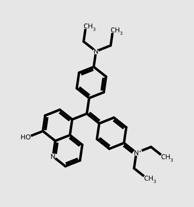 CCN(CC)c1ccc(C(=C2C=CC(=[N+](CC)CC)C=C2)c2ccc(O)c3ncccc23)cc1